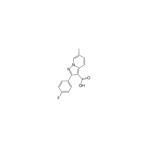 Cc1ccc2c(C(=O)O)c(-c3ccc(F)cc3)nn2c1